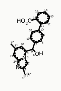 CCCc1cn2c(C(O)c3ccc(-c4ccccc4C(=O)O)cc3)cc(C)cc2n1